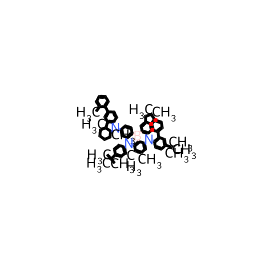 Cc1cc2c3c(c1)N(c1ccc(C(C)(C)C)cc1-c1ccccc1)c1cc4c(cc1B3c1ccc(N3c5ccc(-c6ccccc6C)cc5C5(C)CCCCC35C)cc1N2c1ccc(C(C)(C)C)cc1C)CC(C)(C)C4